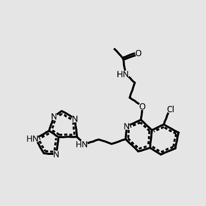 CC(=O)NCCOc1nc(CCNc2ncnc3[nH]cnc23)cc2cccc(Cl)c12